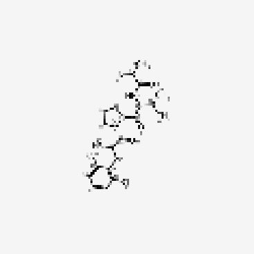 CC(N)C(=O)NC(C(=O)N1CCC[C@H]1C(=O)C(S)Cc1c(Cl)cccc1Cl)C(C)C